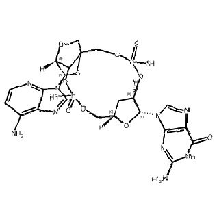 Nc1nc2c(ncn2[C@@H]2O[C@@H]3COP(=O)(S)OC4[C@H]5OCC4(COP(=O)(S)O[C@@H]2C3)O[C@H]5n2cnc3c(N)ccnc32)c(=O)[nH]1